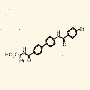 CCc1ccc(C(=O)Nc2ccc(-c3ccc(C(=O)N[C@@H](C(=O)O)C(C)C)cc3)cc2)cc1